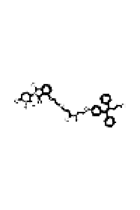 CN(CCOc1ccc(C(=C(CCCl)c2ccccc2)c2ccccc2)cc1)C(=O)CCOCCSc1cccc2c1C(=O)N(C1CCC(=O)NC1=O)C2=O